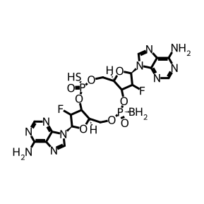 B[P@]1(=O)OC[C@H]2O[C@@H](n3cnc4c(N)ncnc43)C(F)C2O[P@@](=O)(S)OC[C@H]2O[C@@H](n3cnc4c(N)ncnc43)C(F)C2O1